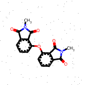 CN1C(=O)c2cccc(Oc3cccc4c3C(=O)N(C)C4=O)c2C1=O